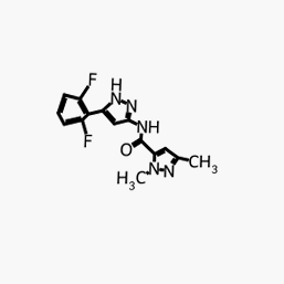 Cc1cc(C(=O)Nc2cc(-c3c(F)cccc3F)[nH]n2)n(C)n1